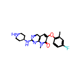 Cc1cc(F)ccc1Oc1cc2cnc(NC3CCNCC3)nc2n(C)c1=O